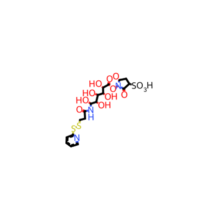 O=C(CCSSc1ccccn1)NC(O)C(O)C(O)C(O)C(O)C(=O)ON1C(=O)CC(S(=O)(=O)O)C1=O